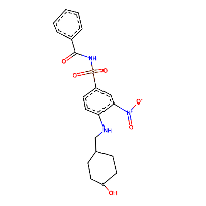 O=C(NS(=O)(=O)c1ccc(NCC2CCC(O)CC2)c([N+](=O)[O-])c1)c1ccccc1